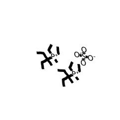 CCC(C)(CC)[P+](C)(CC)CC.CCC(C)(CC)[P+](C)(CC)CC.O=S(=O)([O-])[O-]